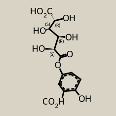 O=C(O)c1cc(OC(=O)[C@@H](O)[C@H](O)[C@H](O)[C@@H](O)C(=O)O)ccc1O